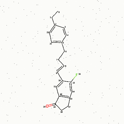 CCc1ccc(CC/C=C/c2cc3c(cc2F)CCC3=O)cc1